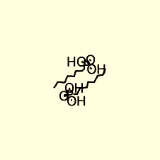 CCCCCCCCP(=O)(O)O.CCCCCCCP(=O)(O)O